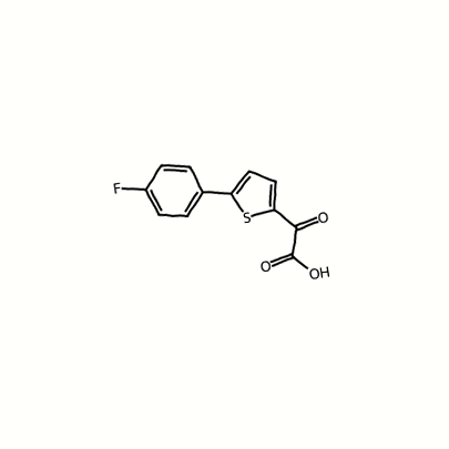 O=C(O)C(=O)c1ccc(-c2ccc(F)cc2)s1